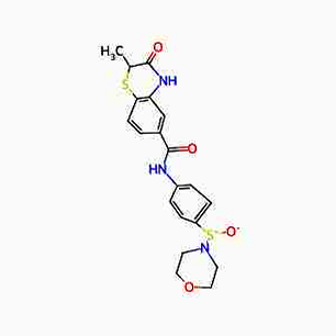 CC1Sc2ccc(C(=O)Nc3ccc([S+]([O-])N4CCOCC4)cc3)cc2NC1=O